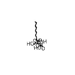 CCCCCCCCCC(=O)[C@@](O)([C@H](O)CO)[C@H](O)[C@@H](O)C=O